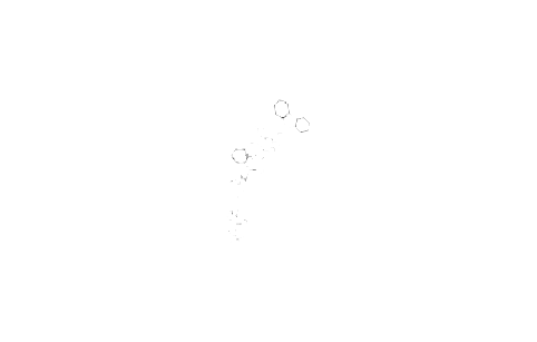 CC(C)(C)OC(=O)NCCCNC(=O)c1cccc(CC(NC(=O)OCC2c3ccccc3-c3ccccc32)C(=O)O)c1